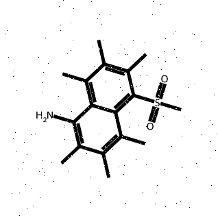 Cc1c(C)c(S(C)(=O)=O)c2c(C)c(C)c(C)c(N)c2c1C